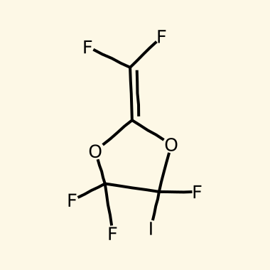 FC(F)=C1OC(F)(F)C(F)(I)O1